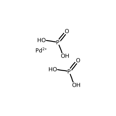 O=[P-](O)O.O=[P-](O)O.[Pd+2]